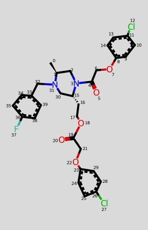 C[C@H]1CN(C(=O)COc2ccc(Cl)cc2)[C@H](CCOC(=O)COc2ccc(Cl)cc2)CN1Cc1ccc(F)cc1